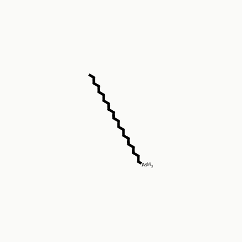 CCCCCCCCCCCCCCCCCCCCC[AsH2]